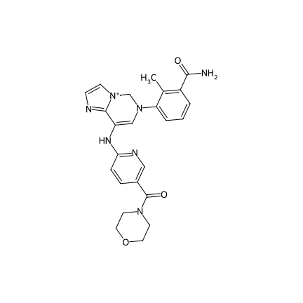 Cc1c(C(N)=O)cccc1N1C=C(Nc2ccc(C(=O)N3CCOCC3)cn2)C2=NC=C[N+]2C1